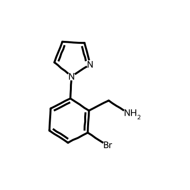 NCc1c(Br)cccc1-n1cccn1